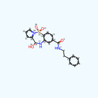 O=C(NCCc1ccccc1)c1ccc2c(c1)NC(O)c1cccn1S2(=O)=O